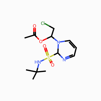 CC(=O)OC(CCl)N1C=CC=NC1S(=O)(=O)NC(C)(C)C